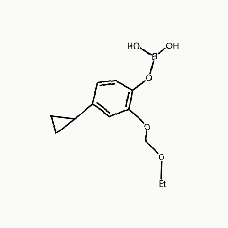 CCOCOc1cc(C2CC2)ccc1OB(O)O